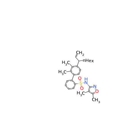 C=CC(CCCCCC)c1ccc(-c2ccccc2S(=O)(=O)Nc2noc(C)c2C)c(C)c1C